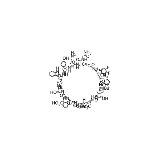 CCCC[C@H]1C(=O)N2C[C@H](O)C[C@@H]2C(=O)N[C@@H](CC(=O)O)C(=O)N[C@@H](C(C)C)C(=O)N(C)[C@@H](Cc2ccccc2)C(=O)N[C@@H](CCC(=O)O)C(=O)N2C[C@H](O)C[C@H]2C(=O)N[C@@H](Cc2c[nH]c3ccccc23)C(=O)N[C@@H](Cc2ccc(O)cc2)C(=O)N[C@@H](CCCN)C(=O)N[C@H](C(=O)NCC(N)=O)CSCC(=O)N[C@@H](Cc2cc(F)c(F)c(F)c2)C(=O)N(C)[C@@H](Cc2ccccc2)C(=O)N1C